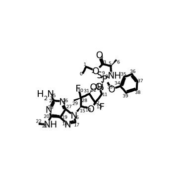 CCOC(=O)[C@@H](C)N[P@](=S)(OC[C@@]1(F)O[C@@H](n2cnc3c(NC)nc(N)nc32)[C@](C)(F)[C@@H]1O)Oc1ccccc1